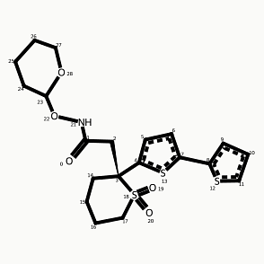 O=C(C[C@]1(c2ccc(-c3cccs3)s2)CCCCS1(=O)=O)NOC1CCCCO1